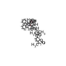 Cc1cc(=O)oc2cc(OC(=O)C(C)(C)CCNC(=O)C(CC(=O)NC(c3ccccc3)(c3ccccc3)c3ccccc3)NC(=O)OC(C)(C)C)ccc12